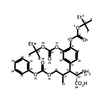 CCC(C)(C)OC(=O)Oc1ccc(C(C(C)COC(=O)Oc2ccccc2)[C@H](N)C(=O)O)cc1OC(=O)OC(C)(C)CC